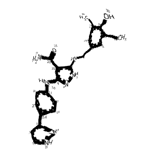 Cc1cc(CNc2[nH]nc(Nc3ccc(-c4cc[nH]n4)cc3)c2C(N)=O)cc(C)c1O